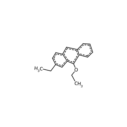 CCOc1c2ccccc2cc2ccc(CC)cc12